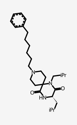 CC(C)C[C@@H]1NC(=O)C2(CCN(CCCCCCc3ccccc3)CC2)N(CC(C)C)C1=O